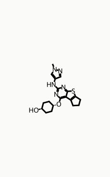 Cn1cc(Nc2nc(O[C@H]3CC[C@H](O)CC3)c3c4c(sc3n2)CCC4)cn1